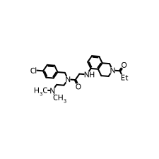 CCC(=O)N1CCc2c(cccc2NCC(=O)N(CCN(C)C)Cc2ccc(Cl)cc2)C1